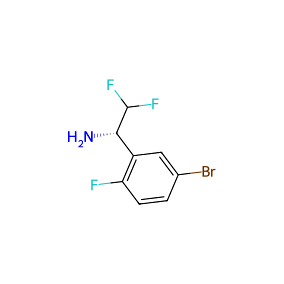 N[C@@H](c1cc(Br)ccc1F)C(F)F